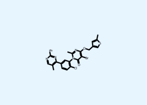 Cc1cc(COc2nc(C)n(-c3cc(-c4nc(C(C)C)ncc4C)ccc3Cl)c(=O)c2Br)cs1